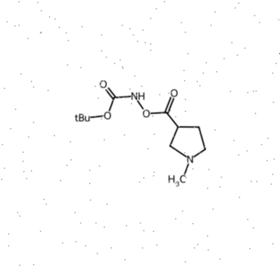 CN1CCC(C(=O)ONC(=O)OC(C)(C)C)C1